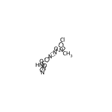 Cc1cc2cc(Cl)ccc2n1CC(=O)N1CCN(c2ccc(S(=O)(=O)Nc3ccncn3)cc2)CC1